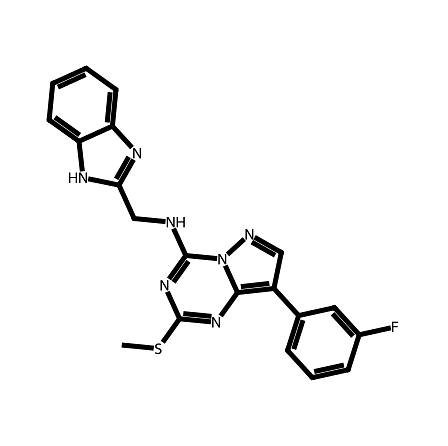 CSc1nc(NCc2nc3ccccc3[nH]2)n2ncc(-c3cccc(F)c3)c2n1